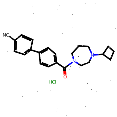 Cl.N#Cc1ccc(-c2ccc(C(=O)N3CCCN(C4CCC4)CC3)cc2)cc1